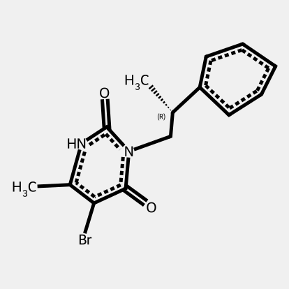 Cc1[nH]c(=O)n(C[C@H](C)c2ccccc2)c(=O)c1Br